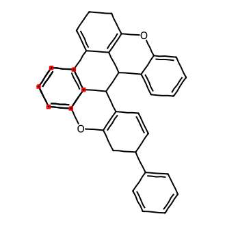 C1=CCC(C2=CCCC3=C2C(C2C4=C(CC(c5ccccc5)C=C4)Oc4ccccc42)c2ccccc2O3)C=C1